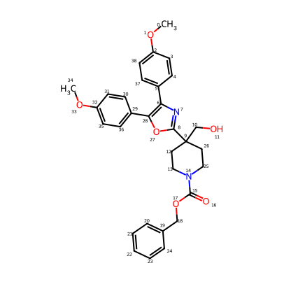 COc1ccc(-c2nc(C3(CO)CCN(C(=O)OCc4ccccc4)CC3)oc2-c2ccc(OC)cc2)cc1